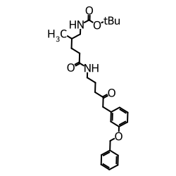 CC(CCC(=O)NCCCC(=O)Cc1cccc(OCc2ccccc2)c1)CNC(=O)OC(C)(C)C